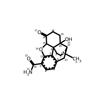 CN1CCC23c4c5ccc(C(N)=O)c4OC2C(=O)CCC3(O)C1C5